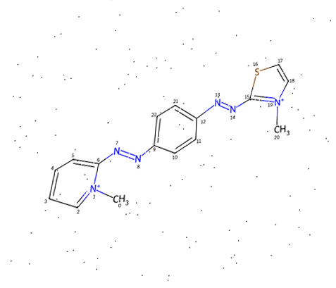 C[n+]1ccccc1N=Nc1ccc(N=Nc2scc[n+]2C)cc1